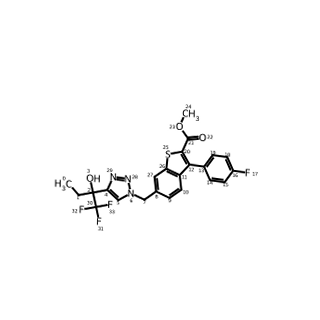 CCC(O)(c1cn(Cc2ccc3c(-c4ccc(F)cc4)c(C(=O)OC)sc3c2)nn1)C(F)(F)F